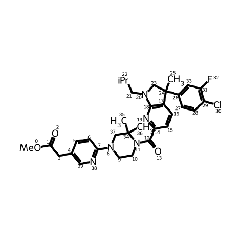 COC(=O)Cc1ccc(N2CCN(C(=O)c3ccc4c(n3)N(CC(C)C)CC4(C)c3ccc(Cl)c(F)c3)C(C)(C)C2)nc1